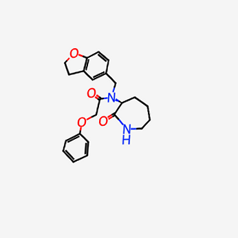 O=C1NCCCC[C@@H]1N(Cc1ccc2c(c1)CCO2)C(=O)COc1ccccc1